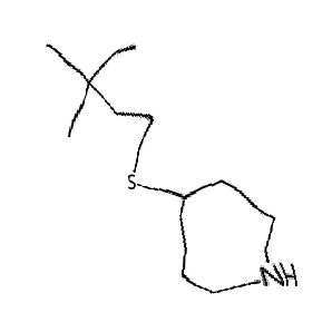 CC(C)(C)CSC1CCNCC1